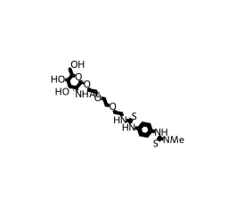 CNC(=S)Nc1ccc(NC(=S)NCCOCCOCCO[C@@H]2OC(CO)[C@H](O)C(O)[C@@H]2NC(C)=O)cc1